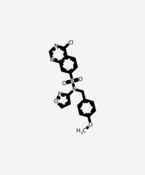 COc1ccc(CN(c2ccon2)S(=O)(=O)c2ccc3c(Cl)ncnc3c2)cc1